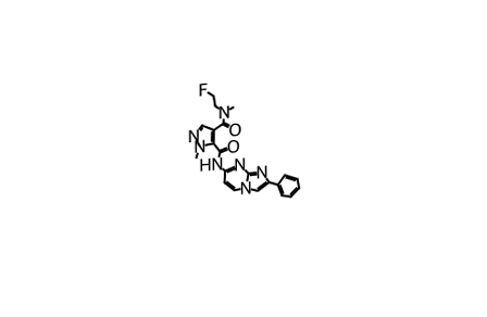 CN(CCF)C(=O)c1cnn(C)c1C(=O)Nc1ccn2cc(-c3ccccc3)nc2n1